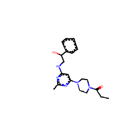 CCC(=O)N1CCN(c2cc(NCC(O)c3ccccc3)nc(C)n2)CC1